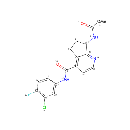 COC(=O)NC1CCc2c(C(=O)Nc3ccc(F)c(Cl)c3)ccnc21